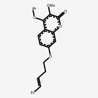 CC/C=C/CCOc1ccc2c(OC(C)C)c(OC)c(=O)oc2c1